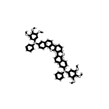 COc1cc(N(c2ccccc2)c2ccc3c(ccc4c5ccc6oc7c8ccc(N(c9ccccc9)c9cc(OC)c(OC)c(OC)c9)cc8ccc7c6c5oc34)c2)cc(OC)c1OC